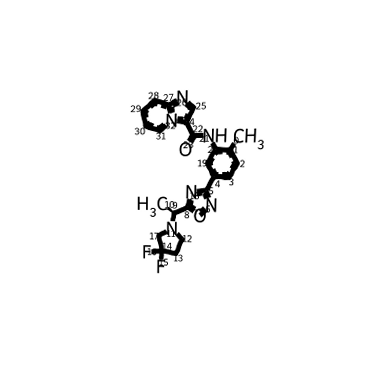 Cc1ccc(-c2noc([C@H](C)N3CCC(F)(F)C3)n2)cc1NC(=O)c1cnc2ccccn12